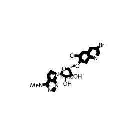 CNc1ncnc2c1ccn2[C@@H]1O[C@H](COc2cc3ncc(Br)cc3cc2Cl)[C@@H](O)[C@H]1O